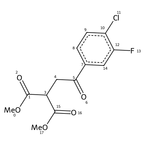 COC(=O)C(CC(=O)c1ccc(Cl)c(F)c1)C(=O)OC